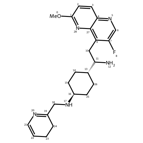 COc1ccc2ncc(F)c(CC(N)[C@H]3CC[C@H](NCC4=NC=CCC4)CC3)c2n1